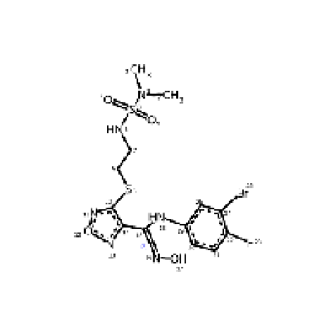 CN(C)S(=O)(=O)NCCSc1nonc1/C(=N/O)Nc1ccc(F)c(Br)c1